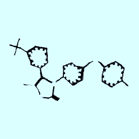 C[C@@H]1NC(=O)N(c2ccc(Oc3ccc(Cl)cc3)cc2)C1c1cccc(C(F)(F)F)c1